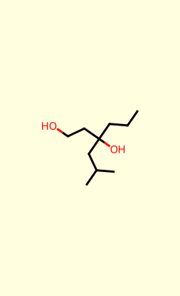 CCCC(O)(CCO)CC(C)C